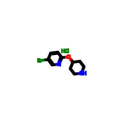 Brc1ccc(OC2CCNCC2)nc1.Cl